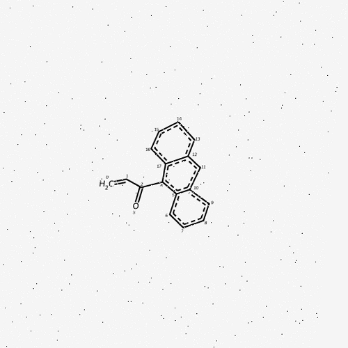 C=CC(=O)c1c2ccccc2cc2ccccc12